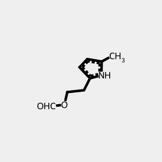 Cc1ccc(CCOC=O)[nH]1